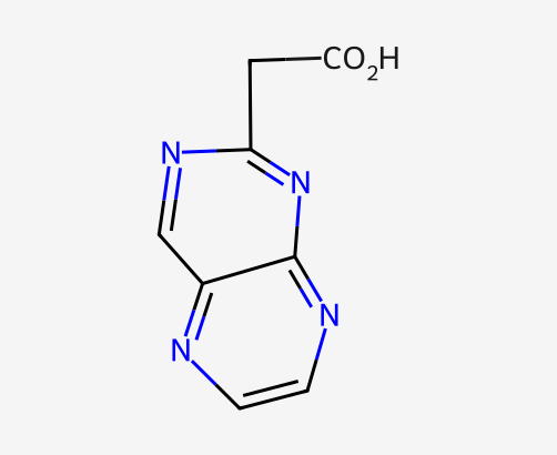 O=C(O)Cc1ncc2nccnc2n1